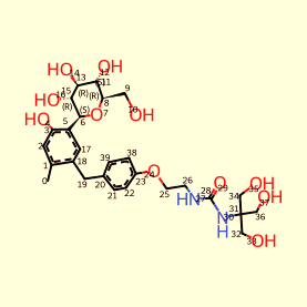 Cc1cc(O)c([C@@H]2O[C@H](CO)[C@@H](O)[C@H](O)[C@H]2O)cc1Cc1ccc(OCCNC(=O)NC(CO)(CO)CO)cc1